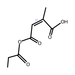 CCC(=O)OC(=O)/C=C(/C)C(=O)O